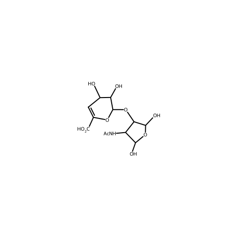 CC(=O)NC1C(O)OC(O)C1OC1OC(C(=O)O)=CC(O)C1O